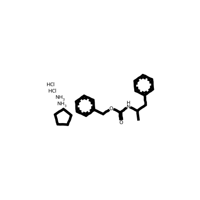 C1CCCC1.CC(Cc1ccccc1)NC(=O)OCc1ccccc1.Cl.Cl.N.N